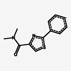 CN(C)C(=O)c1csc(-c2cc[c]cc2)n1